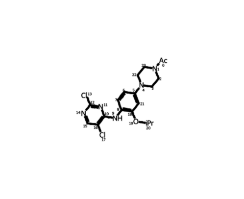 CC(=O)N1CCN(c2ccc(Nc3nc(Cl)ncc3Cl)c(OC(C)C)c2)CC1